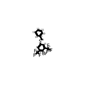 FC(F)(F)c1cc(SCc2ccccc2)cc(C(F)(F)F)c1Br